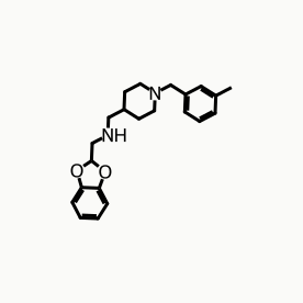 Cc1cccc(CN2CCC(CNCC3Oc4ccccc4O3)CC2)c1